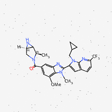 COc1cc(C(=O)N2C[C@H]3NC3[C@H]2C)cc2nc(-c3cc4ccc(C(F)(F)F)nc4n3CC3CC3)n(C)c12